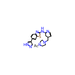 CC(=O)N1CCN(CC2C=CN=C(Nc3nc4ccc(-c5cn[nH]c5)cc4s3)C2)CC1